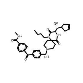 CCCCN1C(=O)[C@@H]([C@H](O)C2CC=CC2)NC(=O)C12CCN(Cc1ccc(C(=O)c3ccc(C(=O)NC)cc3)cc1)CC2.Cl